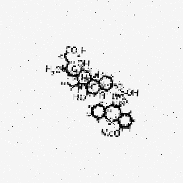 COc1cccc2c1Sc1ccccc1C=C2OP(=O)(O)O[C@@H]1CC[C@@]2(C)[C@@H](C1)C[C@@H](O)[C@@H]1[C@@H]2C[C@H](O)[C@]2(C)[C@@H]([C@H](C)CCC(=O)O)CC[C@@H]12